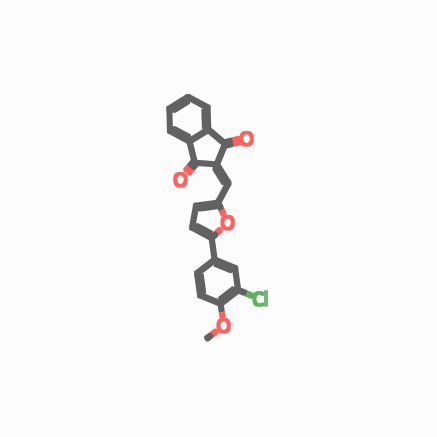 COc1ccc(-c2ccc(C=C3C(=O)c4ccccc4C3=O)o2)cc1Cl